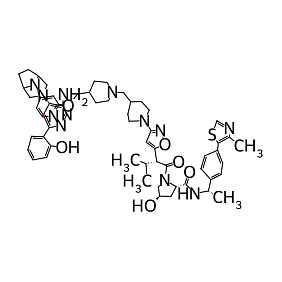 Cc1ncsc1-c1ccc([C@H](C)NC(=O)[C@@H]2C[C@@H](O)CN2C(=O)[C@@H](c2cc(N3CCC(CN4CCC(COc5cc(N6C7CCC6CN(c6cc(-c8ccccc8O)nnc6N)C7)ccn5)CC4)CC3)no2)C(C)C)cc1